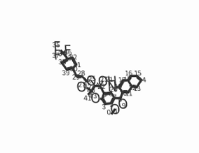 COc1cc2c(c3c1c(=O)c1cc4ccccc4cc1n3C)[C@H](O)[C@H](OC(=O)C=Cc1ccc(C(F)(F)F)cc1)C(C)(C)O2